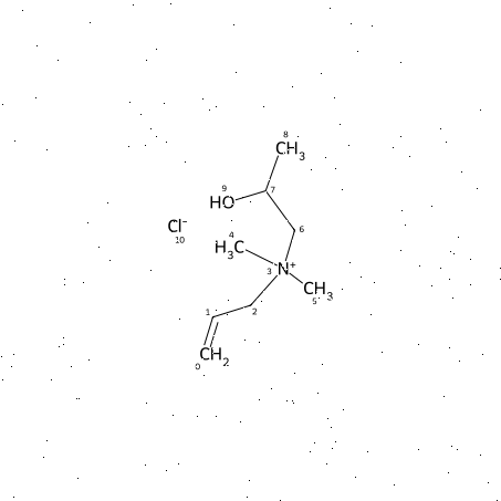 C=CC[N+](C)(C)CC(C)O.[Cl-]